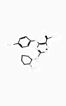 N#Cc1ccc(Nc2nc(N[C@@H]3CCCC[C@@H]3N)nnc2C(N)=O)cc1